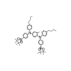 CCCCc1ccc(N(c2ccc(B3OC(C)(C)C(C)(C)O3)cc2)c2ccc(N(c3ccc(CCCC)cc3)c3ccc(B4OC(C)(C)C(C)(C)O4)cc3)c(C)c2)cc1